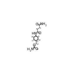 NC(=O)CCC(=O)Nc1ccc(COC(N)=O)cc1